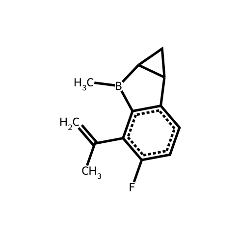 C=C(C)c1c(F)ccc2c1B(C)C1CC21